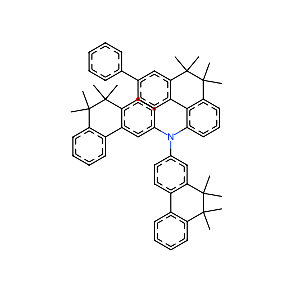 CC1(C)c2ccccc2-c2cc(N(c3ccc4c(c3)C(C)(C)C(C)(C)c3ccccc3-4)c3cccc4c3-c3ccc(-c5ccccc5)cc3C(C)(C)C4(C)C)ccc2C1(C)C